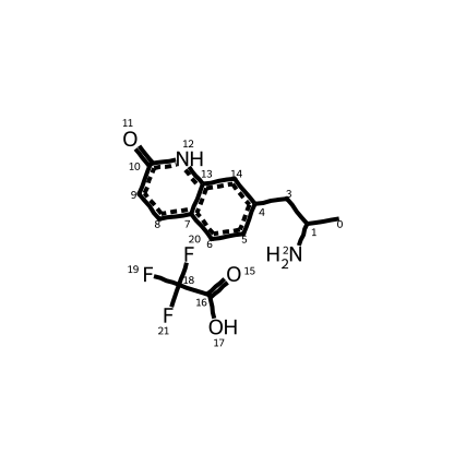 CC(N)Cc1ccc2ccc(=O)[nH]c2c1.O=C(O)C(F)(F)F